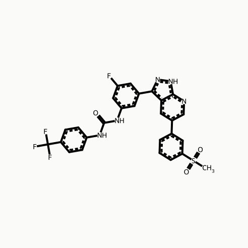 CS(=O)(=O)c1cccc(-c2cnc3[nH]nc(-c4cc(F)cc(NC(=O)Nc5ccc(C(F)(F)F)cc5)c4)c3c2)c1